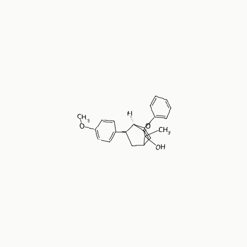 COc1ccc(C2CC3C=C(c4ccccc4)[C@H]2C(=O)C3(C)O)cc1